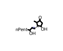 CCCCCC(O)/C=C/[C@H]1C(O)CC(=O)C1C